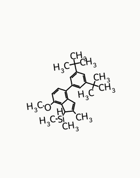 COc1ccc(-c2cc(C(C)(C)C)cc(C(C)(C)C)c2)c2c1C([SiH](C)C)C(C)=C2